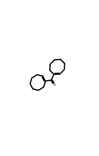 O=C(C1=CCCCCCC1)C1=CCCCCCC1